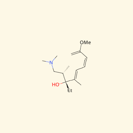 C=C(/C=C\C=C(/C)[C@@](O)(CC)[C@@H](C)CN(C)C)OC